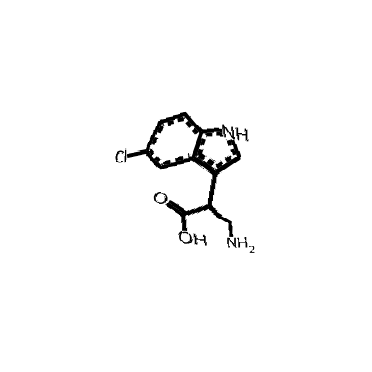 NCC(C(=O)O)c1c[nH]c2ccc(Cl)cc12